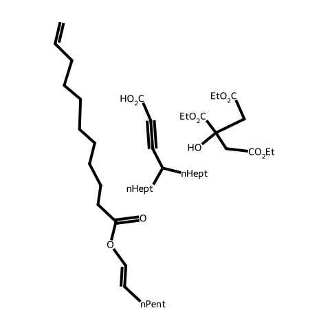 C=CCCCCCCCCC(=O)OC=CCCCCC.CCCCCCCC(C#CC(=O)O)CCCCCCC.CCOC(=O)CC(O)(CC(=O)OCC)C(=O)OCC